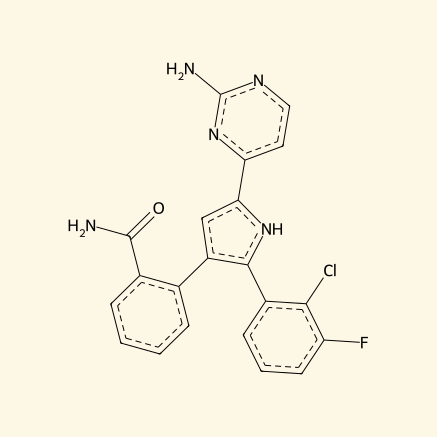 NC(=O)c1ccccc1-c1cc(-c2ccnc(N)n2)[nH]c1-c1cccc(F)c1Cl